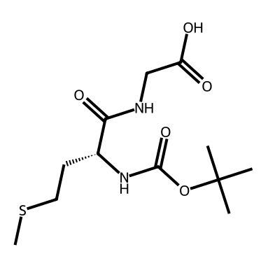 CSCC[C@@H](NC(=O)OC(C)(C)C)C(=O)NCC(=O)O